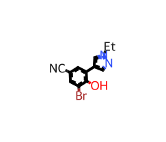 CCn1cc(-c2cc(C#N)cc(Br)c2O)cn1